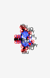 CC(C)C[C@H](NC(=O)[C@H](C)NC(=O)[C@@H](N)CC(C)C)C(=O)NC(C(=O)NCCNc1ccc(NCCNC(=O)C(NC(=O)[C@H](CC(C)C)NC(=O)[C@H](C)NC(=O)[C@@H](N)CC(C)C)C(C=O)CC(=O)OC(C)(C)C)c2c1C(=O)c1c(O)ccc(O)c1C2=O)C(C=O)CC(=O)OC(C)(C)C